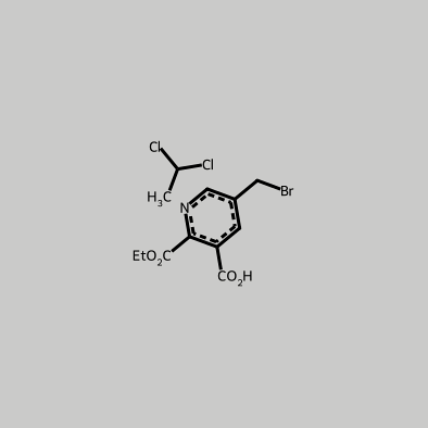 CC(Cl)Cl.CCOC(=O)c1ncc(CBr)cc1C(=O)O